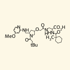 COc1ccnc(NCC2CC(OCC(=O)NCC(NC(=O)C3(C)CCCCC3)C(=O)O)CN2C(=O)CC(C)(C)C)c1